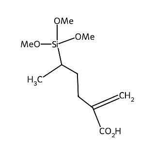 C=C(CCC(C)[Si](OC)(OC)OC)C(=O)O